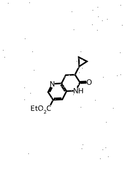 CCOC(=O)c1cnc2c(c1)NC(=O)C(C1CC1)C2